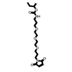 CCC(C)OC(=O)NCCCOCCOCCOCCCN1C(=O)C=CC1=O